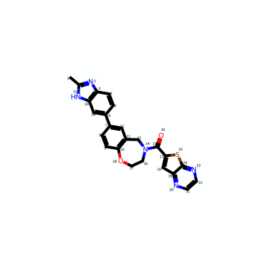 Cc1nc2ccc(-c3ccc4c(c3)CN(C(=O)c3cc5nccnc5s3)CCO4)cc2[nH]1